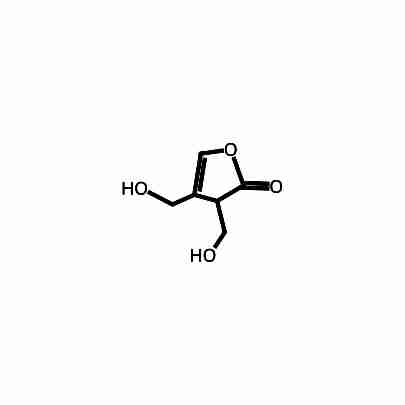 O=C1OC=C(CO)C1CO